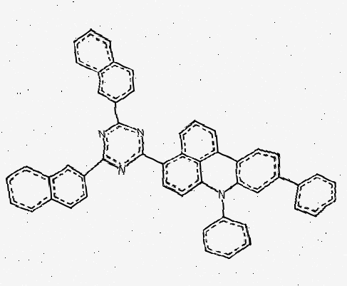 c1ccc(-c2ccc3c(c2)N(c2ccccc2)c2ccc(-c4nc(-c5ccc6ccccc6c5)nc(-c5ccc6ccccc6c5)n4)c4cccc-3c24)cc1